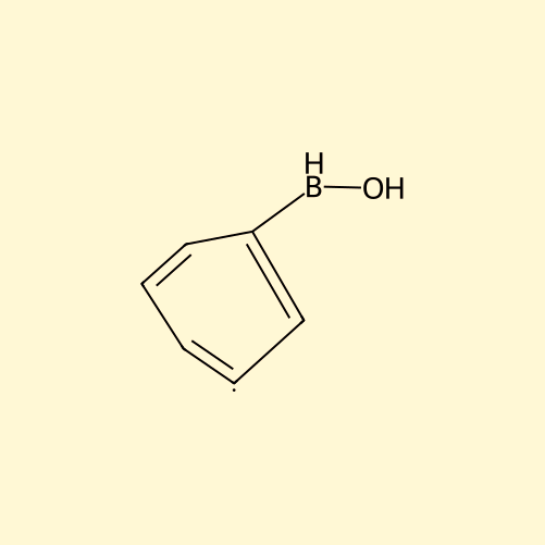 OBc1c[c]ccc1